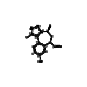 COC1C[C@H](C)n2nnc(C)c2-c2ccc(Br)cc21